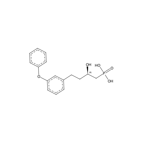 O=P(O)(O)C[C@H](O)CCc1cccc(Oc2ccccc2)c1